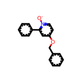 [O-][n+]1ccc(OCc2ccccc2)cc1-c1ccccc1